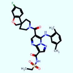 CCS(=O)(=O)NC(=O)c1cnn2c(Nc3cc(C)ccc3C)c(C(=O)N3CCC4(CC3)COc3cc(F)ccc34)cnc12